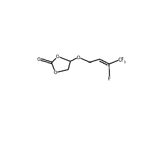 O=C1OCC(OCC=C(F)C(F)(F)F)O1